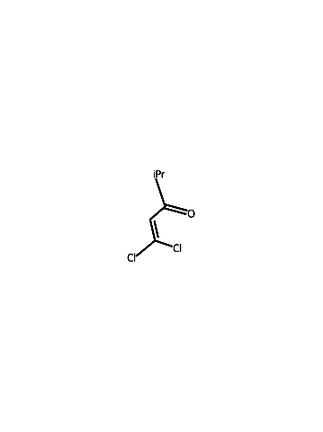 CC(C)C(=O)C=C(Cl)Cl